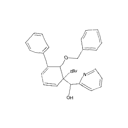 CC(C)(C)C1(C(O)c2ccccn2)C=CC=C(c2ccccc2)C1OCc1ccccc1